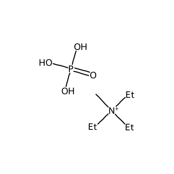 CC[N+](C)(CC)CC.O=P(O)(O)O